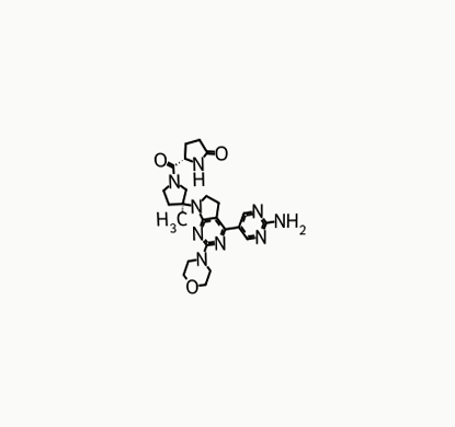 C[C@]1(N2CCc3c(-c4cnc(N)nc4)nc(N4CCOCC4)nc32)CCN(C(=O)[C@@H]2CCC(=O)N2)C1